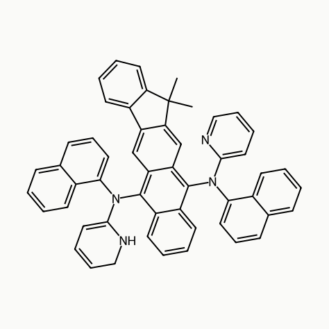 CC1(C)c2ccccc2-c2cc3c(N(C4=CC=CCN4)c4cccc5ccccc45)c4ccccc4c(N(c4ccccn4)c4cccc5ccccc45)c3cc21